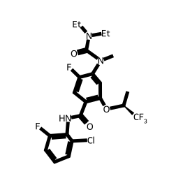 CCN(CC)C(=O)N(C)c1cc(O[C@@H](C)C(F)(F)F)c(C(=O)Nc2c(F)cccc2Cl)cc1F